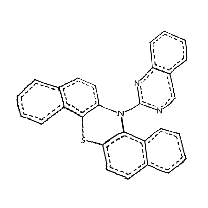 c1ccc2nc(N3c4ccc5ccccc5c4Sc4ccc5ccccc5c43)ncc2c1